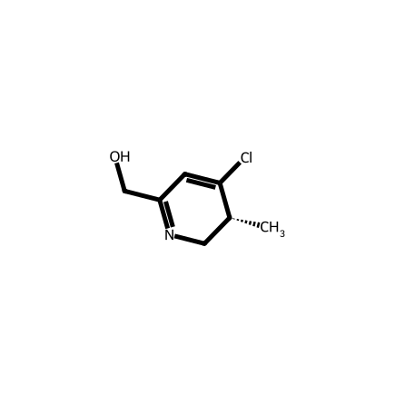 C[C@@H]1CN=C(CO)C=C1Cl